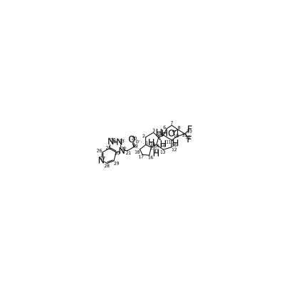 C[C@]12CC[C@@H]3[C@H]4CC[C@@]5(O)C([C@H]4CC[C@H]3[C@@H]1CC[C@@H]2C(=O)Cn1nnc2cnccc21)C5(F)F